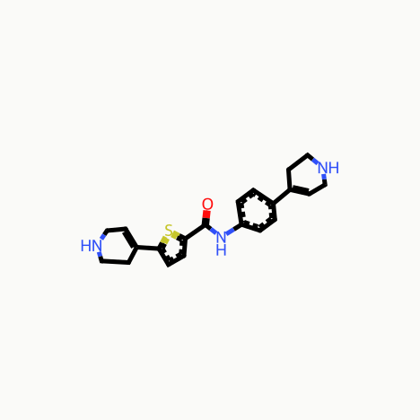 O=C(Nc1ccc(C2=CCNCC2)cc1)c1ccc(C2=CCNCC2)s1